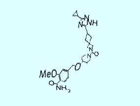 COc1cc(COC2CCN(C(=O)N3CC4(CC(c5nc(C6CC6)n[nH]5)C4)C3)CC2)ccc1C(N)=O